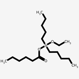 CCCCCC(=O)O[Si](CCCCC)(CCCCC)OCC